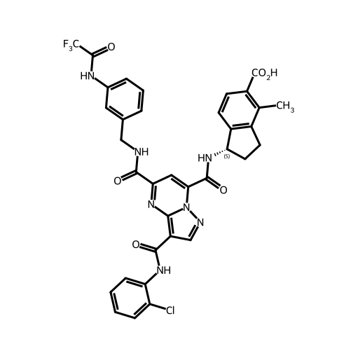 Cc1c(C(=O)O)ccc2c1CC[C@@H]2NC(=O)c1cc(C(=O)NCc2cccc(NC(=O)C(F)(F)F)c2)nc2c(C(=O)Nc3ccccc3Cl)cnn12